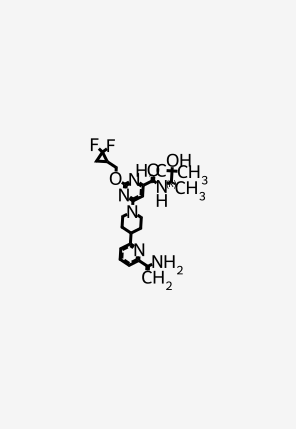 C=C(N)c1cccc(C2CCN(c3cc(C(=O)N[C@H](C)C(C)(C)O)nc(OCC4CC4(F)F)n3)CC2)n1